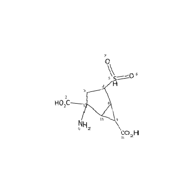 NC1(C(=O)O)CC([SH](=O)=O)C2C(C(=O)O)C21